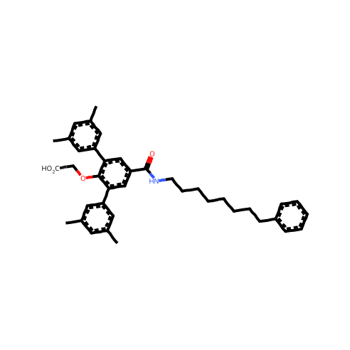 Cc1cc(C)cc(-c2cc(C(=O)NCCCCCCCCc3ccccc3)cc(-c3cc(C)cc(C)c3)c2OCC(=O)O)c1